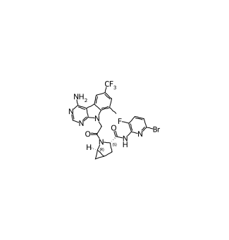 Cc1cc(C(F)(F)F)cc2c3c(N)ncnc3n(CC(=O)N3[C@@H]4CC4C[C@H]3C(=O)Nc3nc(Br)ccc3F)c12